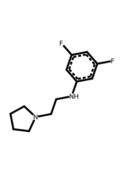 Fc1cc(F)cc(NCCN2CCCC2)c1